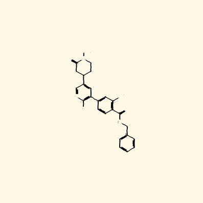 CN1CCC(c2cnc(N)c(-c3ccc(C(=O)NCc4ccccc4)c(F)c3)c2)CC1=O